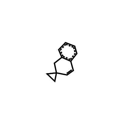 C1=CC2(CC2)Cc2ccccc21